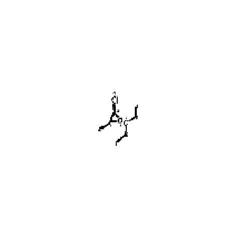 CC1OC1Cl.CCOCC